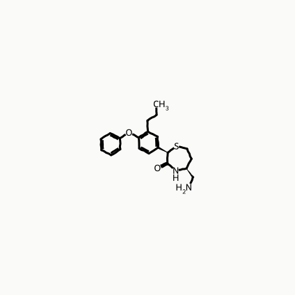 CCCc1cc([C@H]2SCC[C@@H](CN)NC2=O)ccc1Oc1ccccc1